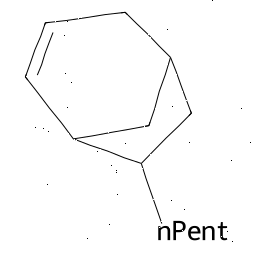 CCCCCC1CC2CC=CC1C2